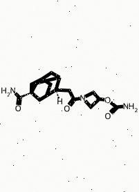 NC(=O)OC1CN(C(=O)C[C@H]2C3CC4CC2C[C@@](C(N)=O)(C4)C3)C1